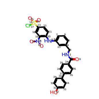 O=C(NCc1cccc(Nc2ccc(S(=O)(=O)Cl)cc2[N+](=O)[O-])c1)c1ccc(-c2ccc(O)cc2)cc1